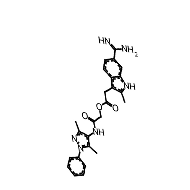 Cc1nn(-c2ccccc2)c(C)c1NC(=O)COC(=O)Cc1c(C)[nH]c2cc(C(=N)N)ccc12